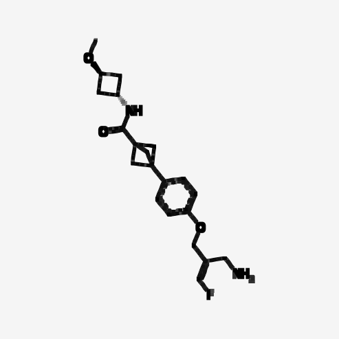 CO[C@H]1C[C@H](NC(=O)C23CC(c4ccc(OC/C(=C/F)CN)cc4)(C2)C3)C1